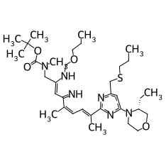 CCCOCN/C(=C\C(=N)/C(C)=C\C=C(/C)c1nc(CSCCC)cc(N2CCOC[C@H]2CC)n1)CN(C)C(=O)OC(C)(C)C